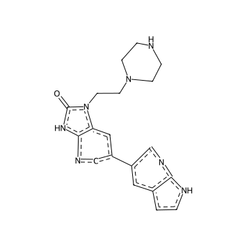 O=c1[nH]c2ncc(-c3cnc4[nH]ccc4c3)cc2n1CCN1CCNCC1